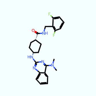 CN(C)c1nc(N[C@H]2CC[C@@H](C(=O)NCc3c(F)cccc3F)CC2)nc2ccccc12